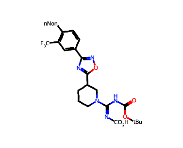 CCCCCCCCCc1ccc(-c2noc(C3CCCN(C(=NC(=O)O)NC(=O)OC(C)(C)C)C3)n2)cc1C(F)(F)F